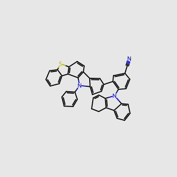 N#Cc1ccc(-n2c3c(c4ccccc42)CCC=C3)c(-c2ccc3c(c2)c2ccc4sc5ccccc5c4c2n3-c2ccccc2)c1